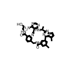 Cc1cc(C(=O)NCc2ccc(C(=O)NCCO)cc2)cc(-c2nc(C(C)Nc3ncnc(N)c3C#N)nn3ccc(C)c23)c1